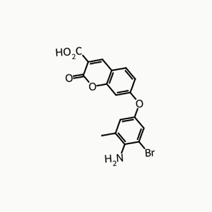 Cc1cc(Oc2ccc3cc(C(=O)O)c(=O)oc3c2)cc(Br)c1N